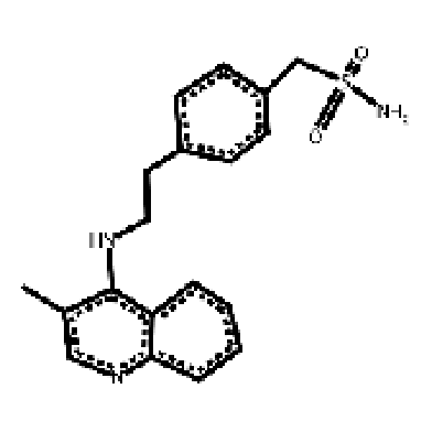 Cc1cnc2ccccc2c1NCCc1ccc(CS(N)(=O)=O)cc1